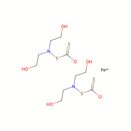 [Fe+2].[O-]C(=S)SN(CCO)CCO.[O-]C(=S)SN(CCO)CCO